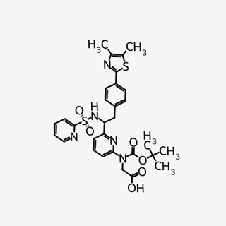 Cc1nc(-c2ccc(CC(NS(=O)(=O)c3ccccn3)c3cccc(N(CC(=O)O)C(=O)OC(C)(C)C)n3)cc2)sc1C